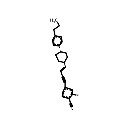 CCCc1ccc([C@H]2CC[C@H](C=CC#Cc3ccc(C#N)c(F)c3)CC2)cc1